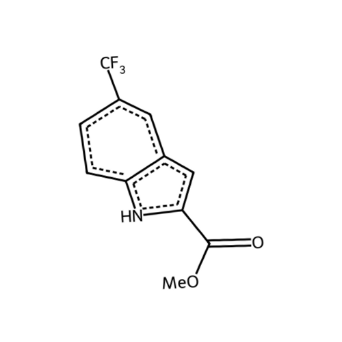 COC(=O)c1cc2cc(C(F)(F)F)ccc2[nH]1